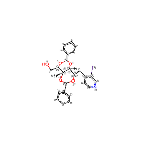 OC[C@H]1OC(c2ccccc2)O[C@@H]2[C@@H]1OC(c1ccccc1)O[C@@H]2Cc1ccncc1I